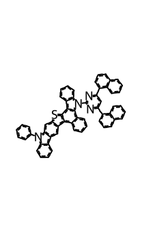 c1ccc(-n2c3ccccc3c3cc4c(cc32)sc2c4c3ccccc3c3c2c2ccccc2n3-c2nc(-c3cccc4ccccc34)cc(-c3cccc4ccccc34)n2)cc1